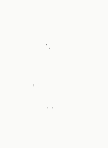 CCC(CC(=O)OC)C[N+](C)(C)C